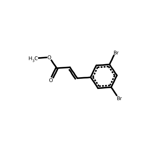 COC(=O)/C=C/c1cc(Br)cc(Br)c1